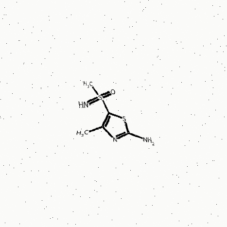 Cc1nc(N)sc1S(C)(=N)=O